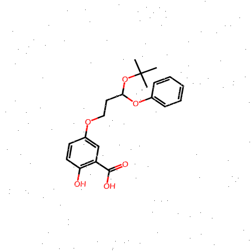 CC(C)(C)OC(CCOc1ccc(O)c(C(=O)O)c1)Oc1ccccc1